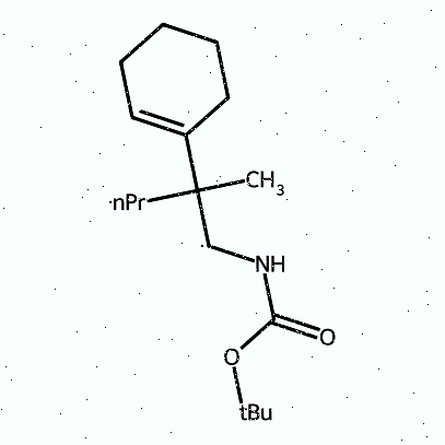 CC[CH]C(C)([CH]NC(=O)OC(C)(C)C)C1=CCCCC1